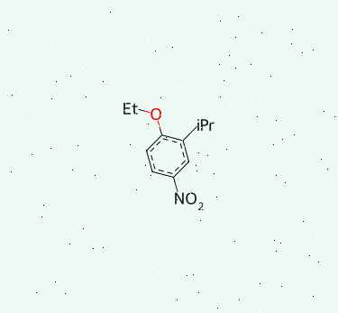 [CH2]C(C)c1cc([N+](=O)[O-])ccc1OCC